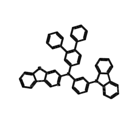 c1ccc(-c2ccc(N(c3cccc(-n4c5ccccc5c5ccccc54)c3)c3cc4oc5ccccc5c4cn3)cc2-c2ccccc2)cc1